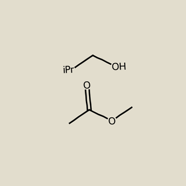 CC(C)CO.COC(C)=O